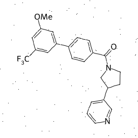 COc1cc(-c2ccc(C(=O)N3CCC(c4cccnc4)C3)cc2)cc(C(F)(F)F)c1